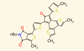 CCCCN1C(=O)c2c(C)sc(-c3ccc(C4=c5c(c6sc(C)cc6c6cc(C)sc56)=C(c5ccc(C)s5)C4=O)s3)c2C1=O